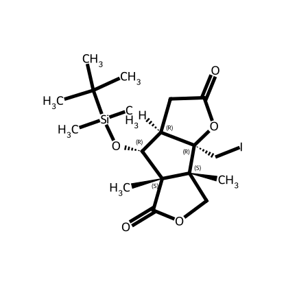 CC(C)(C)[Si](C)(C)O[C@@H]1[C@H]2CC(=O)O[C@@]2(CI)[C@]2(C)COC(=O)[C@]12C